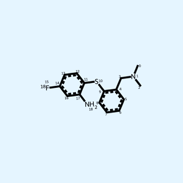 CN(C)Cc1ccccc1Sc1ccc([18F])cc1N